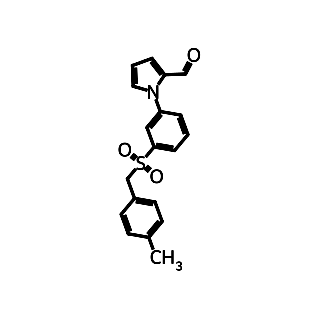 Cc1ccc(CS(=O)(=O)c2cccc(-n3cccc3C=O)c2)cc1